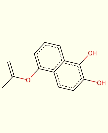 C=C(C)Oc1cccc2c(O)c(O)ccc12